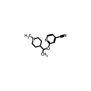 CC(Oc1cc(C#N)ccn1)C1CCN(C)CC1